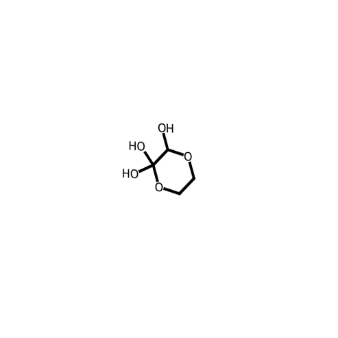 OC1OCCOC1(O)O